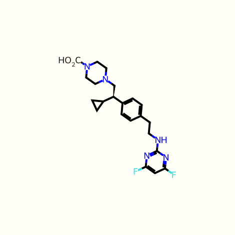 O=C(O)N1CCN(C[C@@H](c2ccc(CCNc3nc(F)cc(F)n3)cc2)C2CC2)CC1